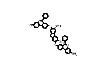 Nc1ccc2c(c1)nc(-c1ccccc1)c1cc(Oc3cc4c(cc3S(=O)(=O)O)-c3cc(S(=O)(=O)O)c(Oc5ccc6c(c5)c(-c5ccccc5)nc5cc(N)ccc56)cc3C4)ccc12